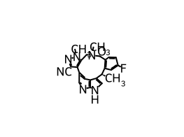 C[C@@H]1c2cc(F)ccc2C(=O)N(C)Cc2c(c(C#N)nn2C)-c2cnc3[nH]cc1c3c2